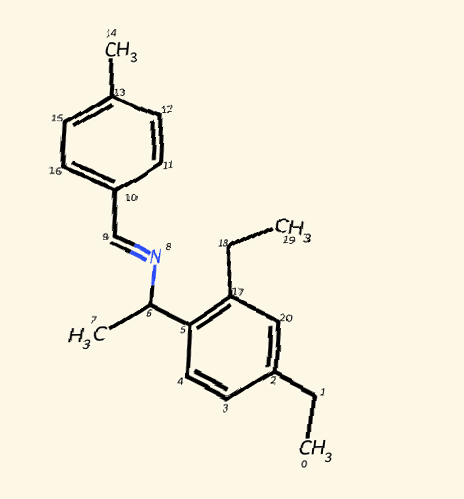 CCc1ccc(C(C)N=Cc2ccc(C)cc2)c(CC)c1